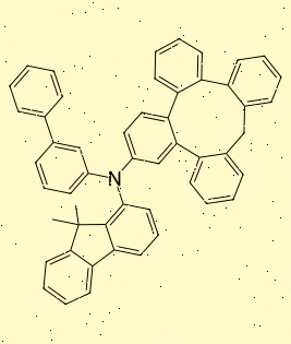 CC1(C)c2ccccc2-c2cccc(N(c3cccc(-c4ccccc4)c3)c3ccc4c(c3)-c3ccccc3Cc3ccccc3-c3ccccc3-4)c21